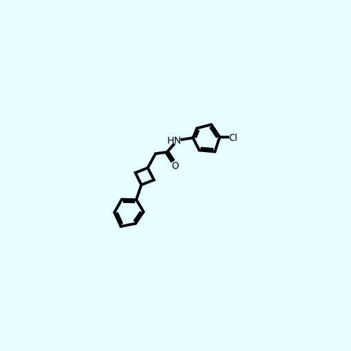 O=C(CC1CC(c2ccccc2)C1)Nc1ccc(Cl)cc1